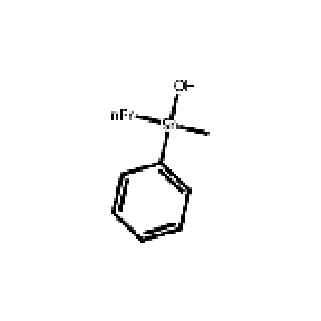 CC[CH2][Sn]([CH3])([OH])[c]1ccccc1